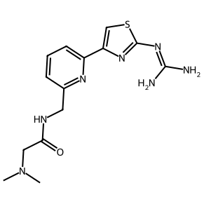 CN(C)CC(=O)NCc1cccc(-c2csc(N=C(N)N)n2)n1